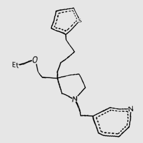 CCOCC1(CCc2cccs2)CCN(Cc2cccnc2)C1